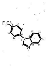 FC(F)(F)c1ccc(-n2cnc3ccccc32)cc1